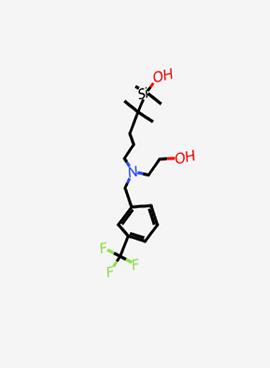 CC(C)(CCCN(CCO)Cc1cccc(C(F)(F)F)c1)[Si](C)(C)O